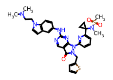 CN(C)CCn1ccc2cc(Nc3ncc4c(=O)n(Cc5cccs5)n(-c5cccc(C6(N(C)S(C)(=O)=O)CC6)n5)c4n3)ccc21